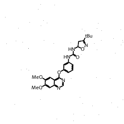 COc1cc2ncnc(Oc3cccc(NC(=O)NC4CC(C(C)(C)C)=NO4)c3)c2cc1OC